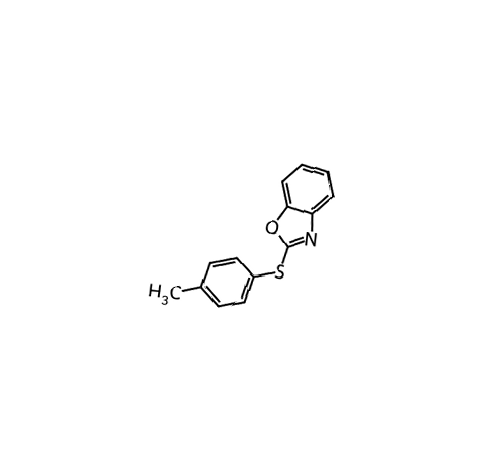 Cc1ccc(Sc2nc3ccccc3o2)cc1